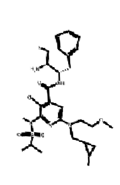 COCCN(CC1CC1C)c1cc(C(=O)N[C@@H](Cc2ccccc2)[C@@H](N)CF)c(Cl)c(N(C)S(=O)(=O)C(C)C)n1